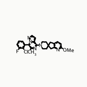 COc1ccc2c(n1)CC1(CCN(c3nc(C)c(-c4cccc(F)c4Cl)n4nccc34)CC1)C2